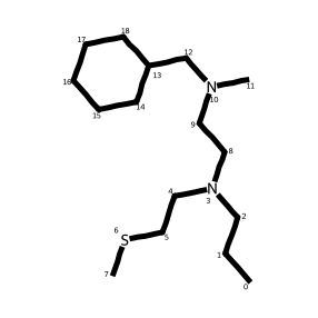 CCCN(CCSC)CCN(C)CC1CCCCC1